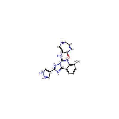 N#Cc1cccc2c1nc(Nc1cnccnc1=O)n1nc(-c3cn[nH]c3)nc21